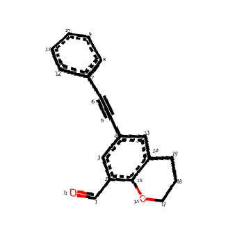 O=Cc1cc(C#Cc2ccccc2)cc2c1OCCC2